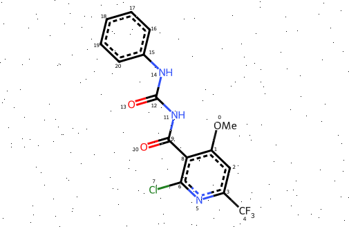 COc1cc(C(F)(F)F)nc(Cl)c1C(=O)NC(=O)Nc1ccccc1